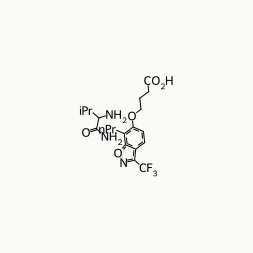 CC(C)C(N)C(N)=O.CCCc1c(OCCCC(=O)O)ccc2c(C(F)(F)F)noc12